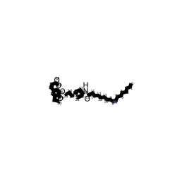 CCCCCCC/C=C\CCCCCCCC(=O)Nc1cc[n+](CCCOc2c3occc3cc3ccc(=O)oc23)cc1